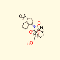 C[C@]12CC[C@](CCO)(O1)[C@@H]1C(=O)N(c3ccc([N+](=O)[O-])c4ccccc34)C(=O)[C@@H]12